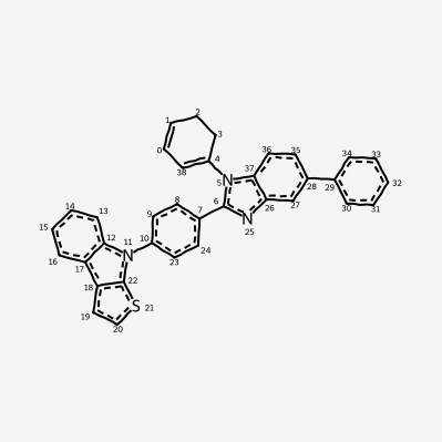 C1=CCCC(n2c(-c3ccc(-n4c5ccccc5c5ccsc54)cc3)nc3cc(-c4ccccc4)ccc32)=C1